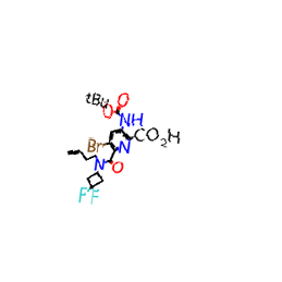 C=CCCN(C(=O)c1nc(C(=O)O)c(NC(=O)OC(C)(C)C)cc1Br)C1CC(F)(F)C1